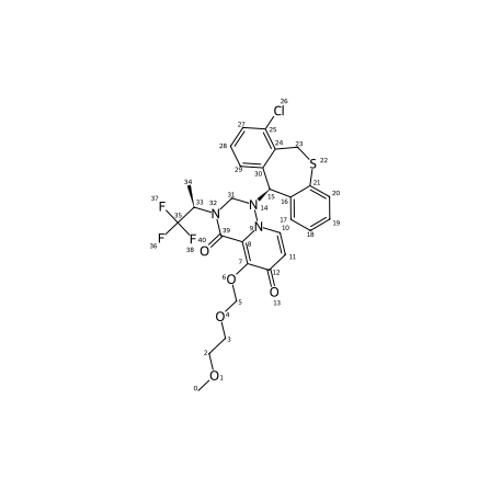 COCCOCOc1c2n(ccc1=O)N([C@@H]1c3ccccc3SCc3c(Cl)cccc31)CN([C@H](C)C(F)(F)F)C2=O